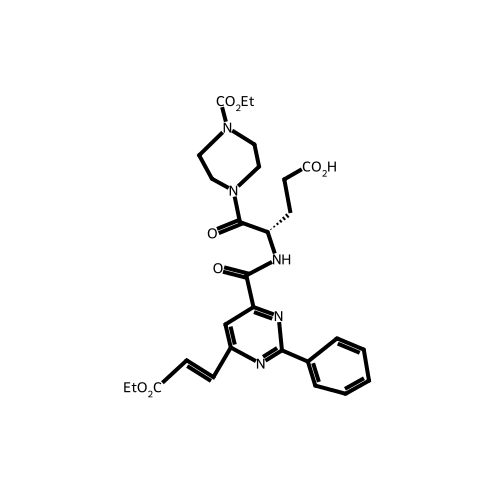 CCOC(=O)/C=C/c1cc(C(=O)N[C@@H](CCC(=O)O)C(=O)N2CCN(C(=O)OCC)CC2)nc(-c2ccccc2)n1